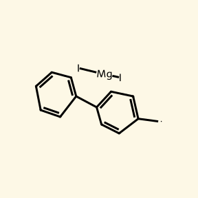 [CH2]c1ccc(-c2ccccc2)cc1.[I][Mg][I]